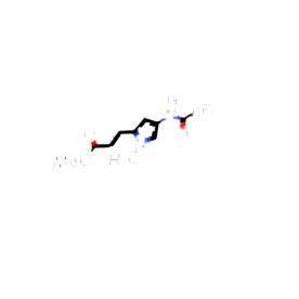 CCCC(=O)Nc1cc(/C=C/C(=O)OC)n(C)c1